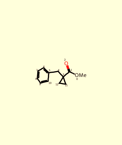 COC(=O)C1(Cc2ccccc2)CC1